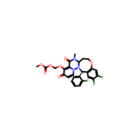 COC(=O)OCOc1c2n(ccc1=O)N1C(CCOc3cc(F)c(F)cc3[C@H]1c1ccccc1F)N(C)C2=O